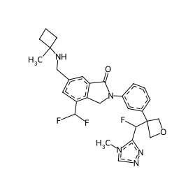 Cn1cnnc1C(F)C1(c2cccc(N3Cc4c(cc(CNC5(C)CCC5)cc4C(F)F)C3=O)c2)COC1